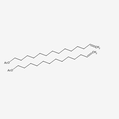 C=CCCCCCCCCCCCCOC(C)=O.C=CCCCCCCCCCCCOC(C)=O